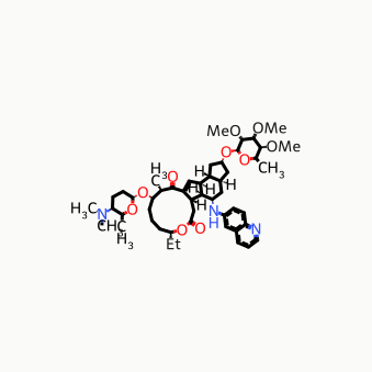 CC[C@H]1CCC[C@H](O[C@H]2CC[C@H](N(C)C)C(C)O2)[C@@H](C)C(=O)C2=C[C@H]3[C@@H]4C[C@H](O[C@@H]5OC(C)[C@H](OC)C(OC)C5OC)C[C@H]4C[C@H](Nc4ccc5ncccc5c4)[C@H]3[C@@H]2CC(=O)O1